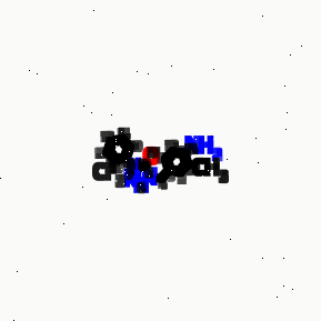 Cc1cc(Cn2nnn(-c3ccccc3C(F)(F)F)c2=O)ccc1N